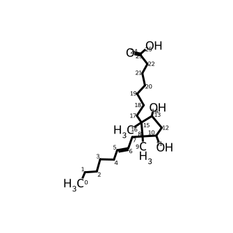 CCCCCC=CCC1(C)C(O)CC(O)C1(C)CCCCCCC(=O)O